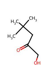 CC(C)(C)CC(=O)CO